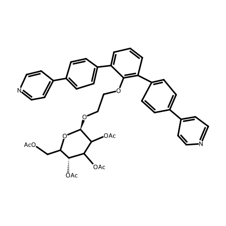 CC(=O)OCC1O[C@@H](OCCOc2c(-c3ccc(-c4ccncc4)cc3)cccc2-c2ccc(-c3ccncc3)cc2)C(OC(C)=O)C(OC(C)=O)[C@@H]1OC(C)=O